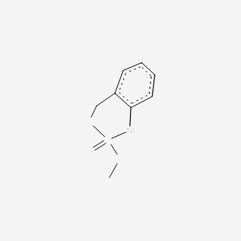 COP1(=O)Nc2ccccc2CO1